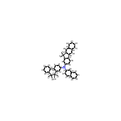 CC1(C)c2cc(N(c3ccc4c(c3)C(C)(C)C(C)(C)c3ccccc3-4)c3ccc4ccccc4c3)ccc2-c2cc3ccccc3cc21